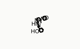 OC1=C(/C=N/NC2=NC(N3CCOCC3)CC=N2)C=CCC1